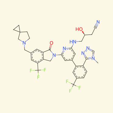 Cn1cnnc1-c1ccc(C(F)(F)F)cc1-c1cc(NC[C@@H](O)CC#N)nc(N2Cc3c(cc(CN4CCC5(CC5)C4)cc3C(F)(F)F)C2=O)c1